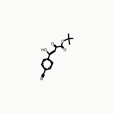 CC(C)(C)OC(=O)C(=O)/C=C(\O)c1ccc(C#N)cc1